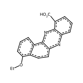 CCOc1cccc2c1ccc1nc3cccc(C(=O)O)c3nc12